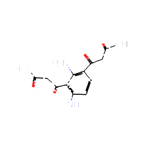 CC(=O)CC(=O)c1ccc(N)c(C(=O)CC(C)=O)c1N